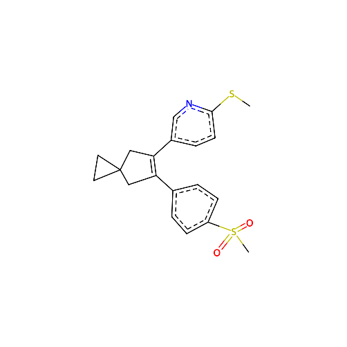 CSc1ccc(C2=C(c3ccc(S(C)(=O)=O)cc3)CC3(CC3)C2)cn1